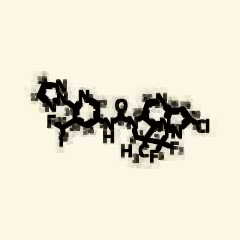 CC1(C(F)(F)F)CN(C(=O)Nc2cnc(-n3nccn3)c(C(F)F)c2)c2cnc3cc(Cl)nn3c21